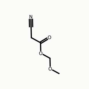 COCOC(=O)CC#N